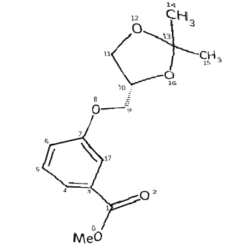 COC(=O)c1cccc(OC[C@@H]2COC(C)(C)O2)c1